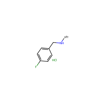 CCCNCc1ccc(F)cc1.Cl